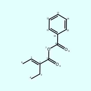 CC=C(CC)C(=O)OC(=O)c1ccccc1